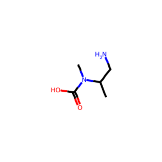 CC(CN)N(C)C(=O)O